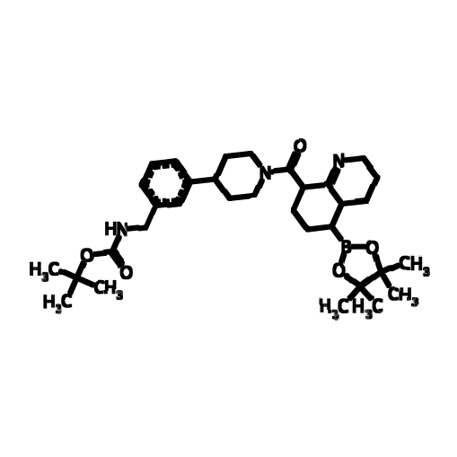 CC(C)(C)OC(=O)NCc1cccc(C2CCN(C(=O)C3CCC(B4OC(C)(C)C(C)(C)O4)C4CCCN=C34)CC2)c1